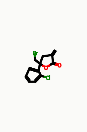 C=C1CC(CBr)(c2ccccc2Cl)OC1=O